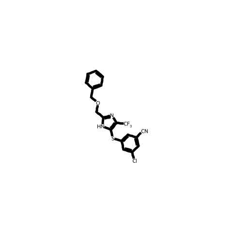 N#Cc1cc(Cl)cc(Sc2[nH]c(COCc3ccccc3)nc2C(F)(F)F)c1